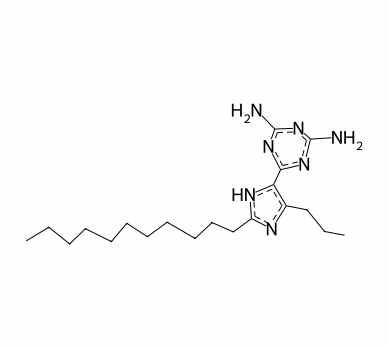 CCCCCCCCCCCc1nc(CCC)c(-c2nc(N)nc(N)n2)[nH]1